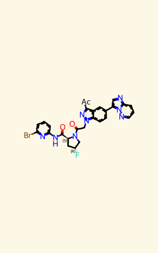 CC(=O)c1nn(CC(=O)N2C[C@H](F)C[C@H]2C(=O)Nc2cccc(Br)n2)c2ccc(-c3cnc4cccnn34)cc12